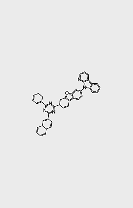 C1=CCCC(c2nc(C3=CC4C=CC=CC4C=C3)nc(C3C=Cc4c(oc5cc(-n6c7ccccc7c7cccnc76)ccc45)C3)n2)=C1